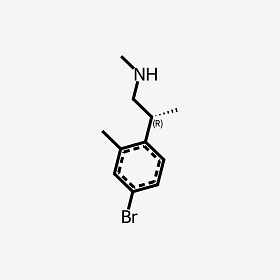 CNC[C@H](C)c1ccc(Br)cc1C